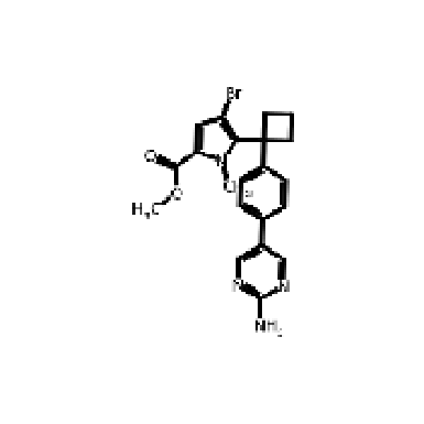 COC(=O)c1cc(Br)c(C2(c3ccc(-c4cnc(N)nc4)cc3)CCC2)n1C